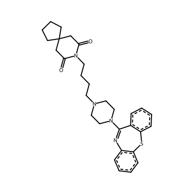 O=C1CC2(CCCC2)CC(=O)N1CCCCN1CCN(C2=Nc3ccccc3Sc3ccccc32)CC1